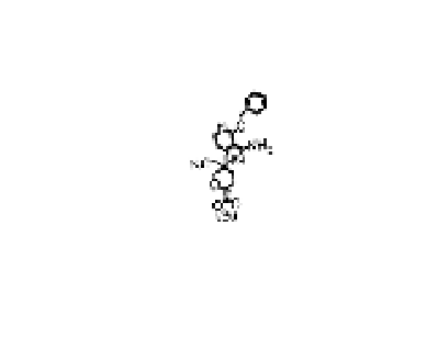 CC(C)(C)OC(=O)[C@@H]1CC[C@@](CC#N)(n2nc(N)c3c(OCc4ccccc4)nccc32)CO1